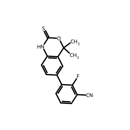 CC1(C)OC(=S)Nc2ccc(-c3cccc(C#N)c3F)cc21